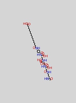 CN[C@@H](CCCCNC(=O)CC[C@H](NC(=O)CC[C@H](NC(O)CC[C@H](NC(=O)[C@H]1CC[C@H](CNC(=O)CCCCCCCCCCCCCCCCCCC(=O)O)CC1)C(=O)O)C(=O)O)C(=O)O)C(C)=O